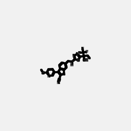 CCC(O)(c1nnc(NCc2ccc3c(-c4ccc(OC)nc4)c(C#N)sc3c2)o1)C(F)(F)F